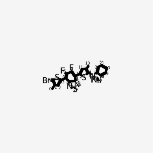 Cc1cc(-c2c(F)c(F)c(-c3cc(C)c(-n4nnc5ccccc54)s3)c3nsnc23)sc1Br